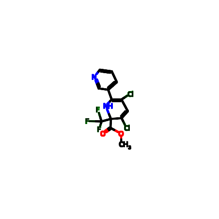 COC(=O)C1(C(F)(F)F)NC(c2cccnc2)=C(Cl)C=C1Cl